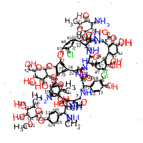 CNC(C(=O)N[C@H]1C(=O)NC(c2ccc(O)c(Cl)c2)C(=O)N[C@H]2C(=O)N[C@H]3C(=O)N[C@H](C(=O)N[C@H](C(=O)O)c4cc(O)cc(O)c4-c4cc3ccc4O)[C@H](O[C@H]3C[C@H](N)[C@@H](O)[C@H](C)O3)c3ccc(c(Cl)c3)Oc3cc2cc(c3O[C@@H]2O[C@H](CO)[C@@H](O)C(O)[C@H]2O[C@H]2C[C@H](N)[C@@H](O)[C@H](C)O2)Oc2ccc(cc2)[C@H]1O)c1ccc(OC2OC(C)C(O)C(O)C2OC)cc1